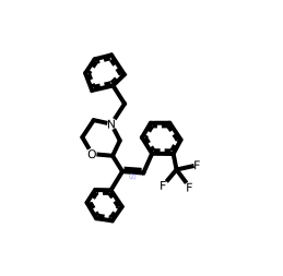 FC(F)(F)c1ccccc1/C=C(/c1ccccc1)C1CN(Cc2ccccc2)CCO1